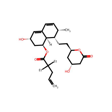 C=CCC(CC)(CC)C(=O)O[C@H]1C[C@H](O)C=C2C=C[C@H](C)[C@H](CC[C@@H]3C[C@@H](O)CC(=O)O3)[C@H]21